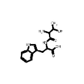 CC(O)C(N)C(=O)NC(Cc1c[nH]c2ccccc12)C(=O)O